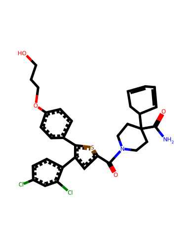 NC(=O)C1(C2C=CC=CC2)CCN(C(=O)c2cc(-c3ccc(Cl)cc3Cl)c(-c3ccc(OCCCO)cc3)s2)CC1